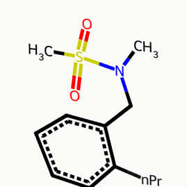 CCCc1ccccc1CN(C)S(C)(=O)=O